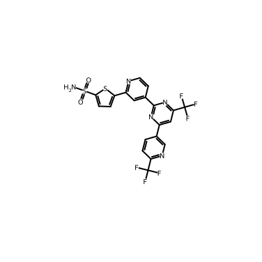 NS(=O)(=O)c1ccc(-c2cc(-c3nc(-c4ccc(C(F)(F)F)nc4)cc(C(F)(F)F)n3)ccn2)s1